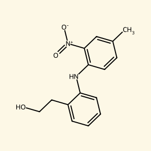 Cc1ccc(Nc2ccccc2CCO)c([N+](=O)[O-])c1